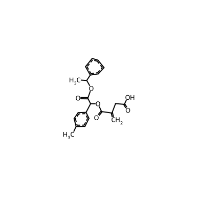 C=C(CC(=O)O)C(=O)OC(C(=O)OC(C)c1ccccc1)c1ccc(C)cc1